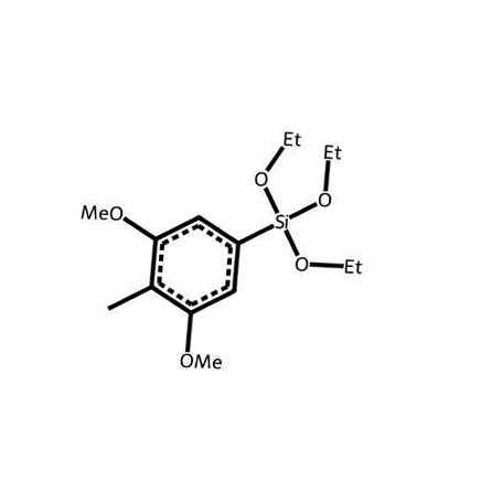 CCO[Si](OCC)(OCC)c1cc(OC)c(C)c(OC)c1